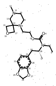 CCN(C(=O)OCCN1CCN(C)CC12COC2)[C@H](C)Cc1ccc2c(c1)OCO2